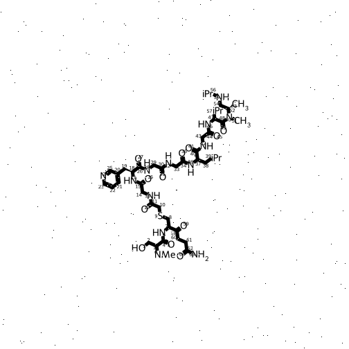 CNC(CO)C(=O)NC(CSCC(=O)NCC(=O)N[C@@H](Cc1cccnc1)C(=O)NCC(=O)NCC(=O)NC(CC(C)C)C(=O)NCC(=O)NC(C(=O)N(C)[C@@H](C)CNC(C)C)C(C)C)C(=O)CCC(N)=O